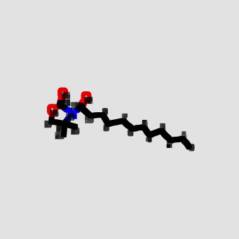 CCCCCCCCCCCC(=O)N1C(=O)OCC1(C)C